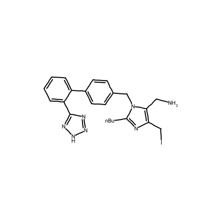 CCCCc1nc(CI)c(CN)n1Cc1ccc(-c2ccccc2-c2nn[nH]n2)cc1